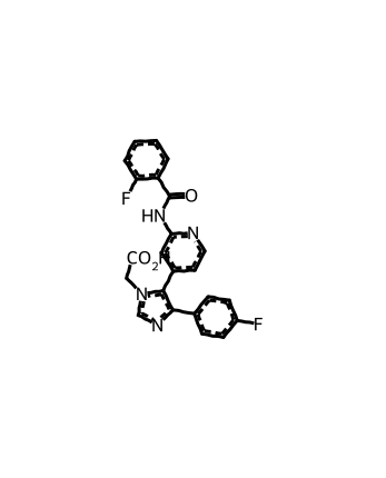 O=C(O)Cn1cnc(-c2ccc(F)cc2)c1-c1ccnc(NC(=O)c2ccccc2F)c1